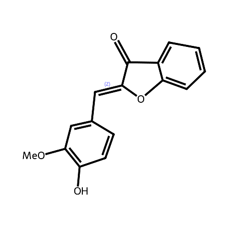 COc1cc(/C=C2\Oc3ccccc3C2=O)ccc1O